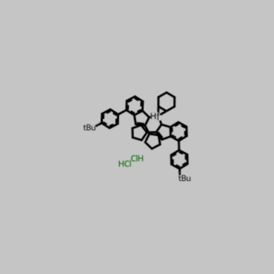 CC(C)(C)c1ccc(-c2cccc3c2C=C(C2CCCC2)[CH]3[Hf]2([CH]3C(C4CCCC4)=Cc4c(-c5ccc(C(C)(C)C)cc5)cccc43)[CH]3CCCC[CH]32)cc1.Cl.Cl